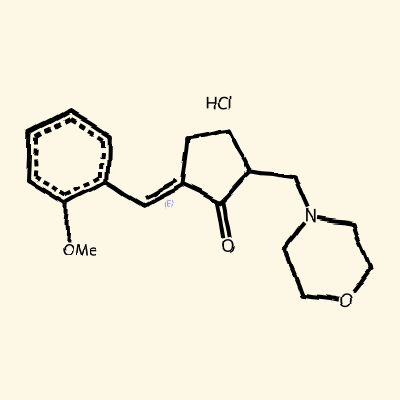 COc1ccccc1/C=C1\CCC(CN2CCOCC2)C1=O.Cl